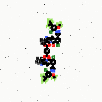 CC(C)(C)C(OC(=O)c1ccc(C(=O)OC(N(C(=O)c2cc(-c3cnn(-c4c(Cl)cc(C(F)(C(F)(F)F)C(F)(F)F)cc4OC(F)(F)F)c3)ccc2Cl)C2(C#N)CC2)C(C)(C)C)cc1)N(C(=O)c1cc(-c2cnn(-c3c(Cl)cc(C(F)(C(F)(F)F)C(F)(F)F)cc3OC(F)(F)F)c2)ccc1Cl)C1(C#N)CC1